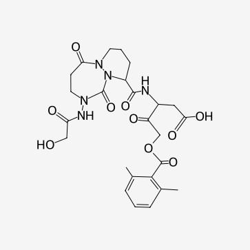 Cc1cccc(C)c1C(=O)OCC(=O)C(CC(=O)O)NC(=O)C1CCCN2C(=O)CCN(NC(=O)CO)C(=O)N12